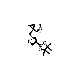 C/N=C\C1(Cn2cc(B3OC(C)(C)C(C)(C)O3)cn2)CC1